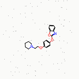 [CH]1CCCCN1CCOc1ccc(Oc2nc3ccccc3o2)cc1